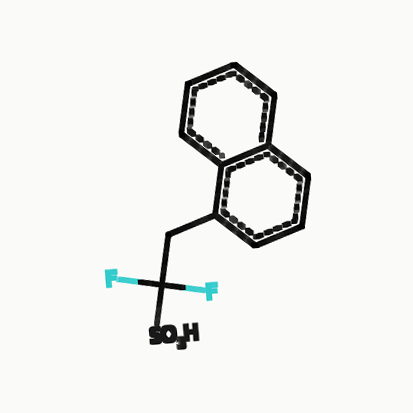 O=S(=O)(O)C(F)(F)Cc1cccc2ccccc12